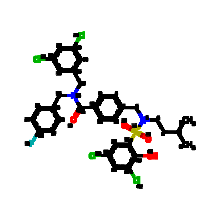 CC(C)CCN(Cc1ccc(C(=O)N(Cc2ccc(F)cc2)Cc2cc(Cl)cc(Cl)c2)cc1)S(=O)(=O)c1cc(Cl)cc(Cl)c1O